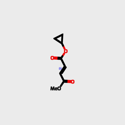 COC(=O)/C=C/C(=O)OC1CC1